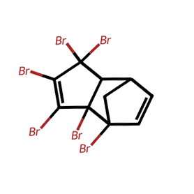 BrC1=C(Br)C2(Br)C(C3C=CC2(Br)C3)C1(Br)Br